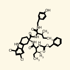 CC[C@H](C)C(NC(=O)OCc1ccccc1)C(=O)N[C@]1(C(=O)NC(C(=O)NCc2ccc(O)cc2)[C@@H](C)CC)CCc2[nH]c3c(Cl)cc(Cl)cc3c2C1